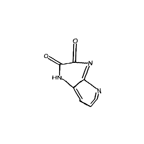 O=C1N=C2N=CC=C2NC1=O